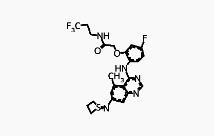 Cc1cc(N=S2CCC2)cc2ncnc(Nc3ccc(F)cc3OCC(=O)NCCC(F)(F)F)c12